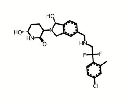 Cc1cc(Cl)ccc1C(F)(F)CNCc1ccc2c(c1)CN(C1CC[C@@H](O)NC1=O)[C@H]2O